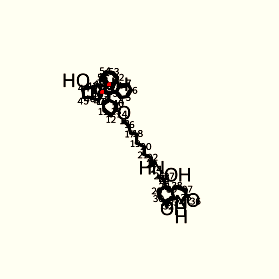 O=C(O)NC(c1ccccc1)(c1cccc(OCCCCCCCCCNC[C@H](O)c2ccc(O)c3[nH]c(=O)ccc23)c1)C1CC2CCC(C1)N2Cc1ccccc1